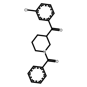 O=C(c1cccc(Cl)c1)C1CCCN(C(=O)c2ccccc2)C1